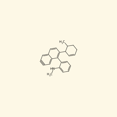 CNc1ccccc1-c1c(C2C=CCCC2C)ccc2cc#ccc12